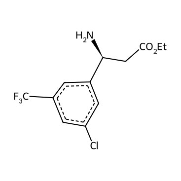 CCOC(=O)C[C@H](N)c1cc(Cl)cc(C(F)(F)F)c1